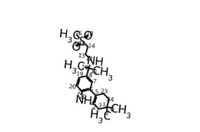 CC1(C)CC=C(c2cc(C(C)(C)NCCS(C)(=O)=O)ccc2N)CC1